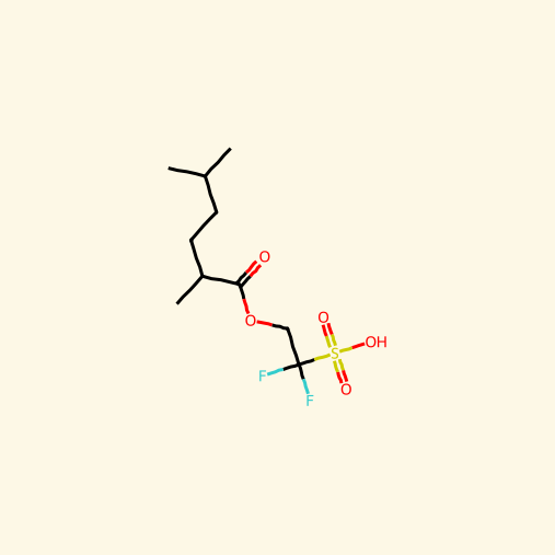 CC(C)CCC(C)C(=O)OCC(F)(F)S(=O)(=O)O